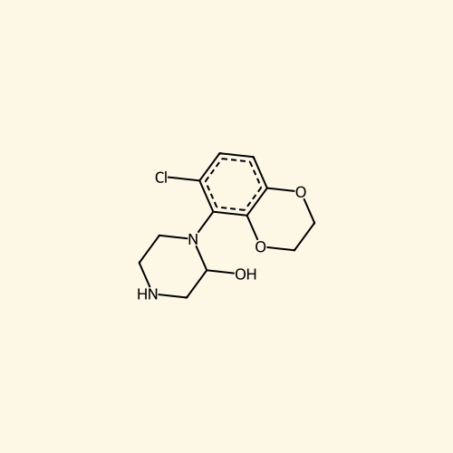 OC1CNCCN1c1c(Cl)ccc2c1OCCO2